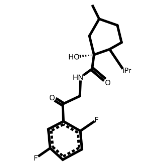 CC1CCC(C(C)C)[C@@](O)(C(=O)NCC(=O)c2cc(F)ccc2F)C1